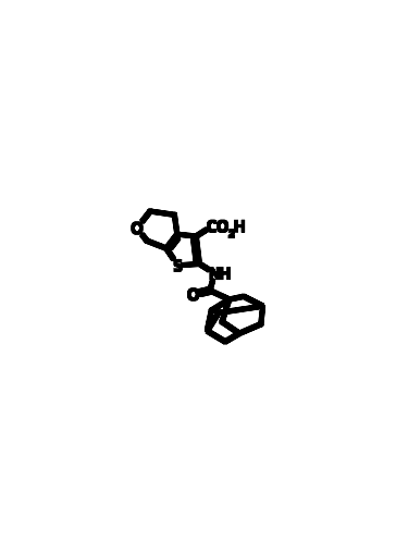 O=C(O)c1c(NC(=O)C23CC4CC(CC(C4)C2)C3)sc2c1CCOC2